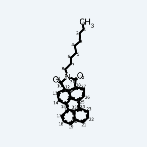 CCCCCCCCCN1C(=O)c2ccc3c4cccc5cccc(c6ccc(c2c36)C1=O)c54